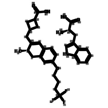 C[C@H]1Cc2cc(OCCCC(F)(F)F)ccc2C=C1CN1CC(C(=O)O)C1.N[C@@H](Cc1c[nH]c2ccccc12)C(=O)O